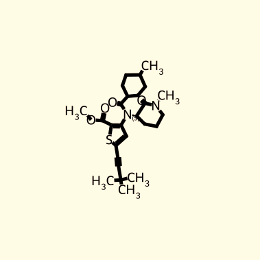 COC(=O)c1sc(C#CC(C)(C)C)cc1N(C(=O)C1CCC(C)CC1)[C@H]1CCCN(C)C1=O